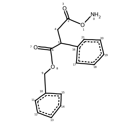 NOC(=O)CC(C(=O)OCc1ccccc1)c1ccccc1